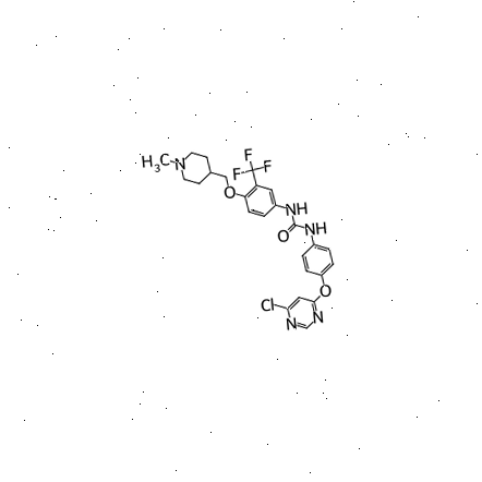 CN1CCC(COc2ccc(NC(=O)Nc3ccc(Oc4cc(Cl)ncn4)cc3)cc2C(F)(F)F)CC1